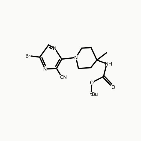 CC1(NC(=O)OC(C)(C)C)CCN(c2ncc(Br)nc2C#N)CC1